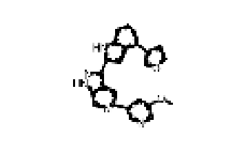 COc1cncc(-c2cc3c(-c4cc5c(-c6ccoc6)cccc5[nH]4)n[nH]c3cn2)c1